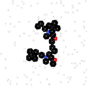 C1=CCC(C2(c3ccccc3)c3ccccc3-c3c(N(c4ccc(-c5cccc6ccccc56)cc4)c4ccccc4-c4cccc5oc6cc(-c7ccc8c(-c9ccc(N(C%10=C(c%11cccc%12oc%13ccccc%13c%11%12)CCC=C%10)c%10ccc(-c%11cccc%12c%11-c%11ccccc%11C%12%11c%12ccccc%12-c%12ccccc%12%11)cc%10)cc9)cccc8c7)ccc6c45)cccc32)C=C1